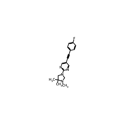 CN1CN(c2ncc(C#Cc3ccc(F)cc3)cn2)CC1(C)C